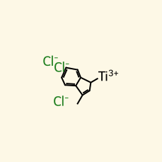 CC1=C[CH]([Ti+3])c2ccccc21.[Cl-].[Cl-].[Cl-]